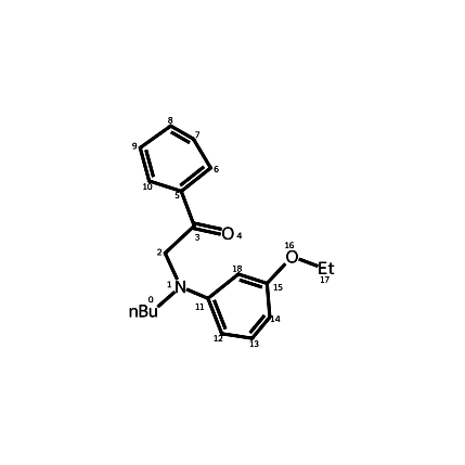 CCCCN(CC(=O)c1ccccc1)c1cccc(OCC)c1